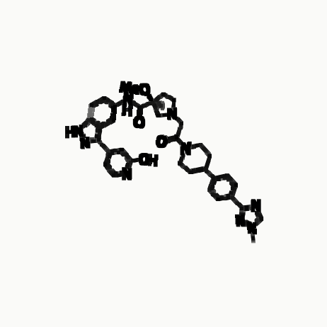 CO[C@@]1(C(=O)Nc2ccc3[nH]nc(-c4ccnc(O)c4)c3c2)CCN(CC(=O)N2CC=C(c3ccc(-c4ncn(C)n4)cc3)CC2)C1